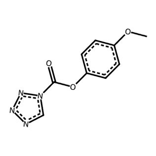 COc1ccc(OC(=O)n2cnnn2)cc1